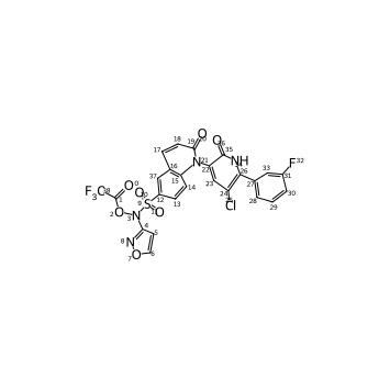 O=C(ON(c1ccon1)S(=O)(=O)c1ccc2c(ccc(=O)n2-c2cc(Cl)c(-c3cccc(F)c3)[nH]c2=O)c1)C(F)(F)F